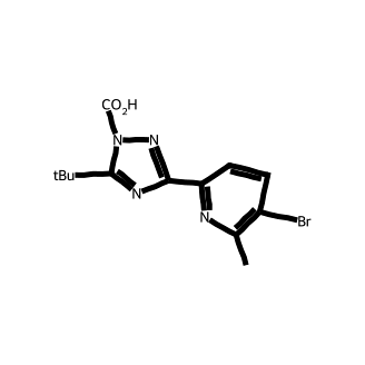 Cc1nc(-c2nc(C(C)(C)C)n(C(=O)O)n2)ccc1Br